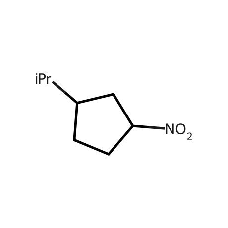 CC(C)C1CCC([N+](=O)[O-])C1